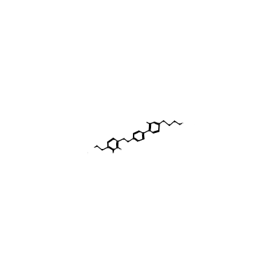 CCCCCc1ccc(-c2ccc(CCc3ccc(CCC)c(F)c3F)cc2)c(F)c1